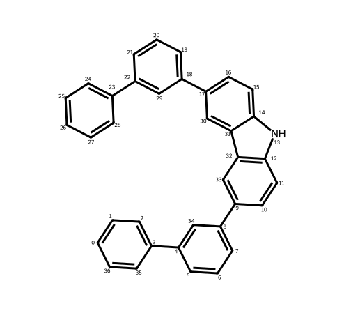 c1ccc(-c2cccc(-c3ccc4[nH]c5ccc(-c6cccc(-c7ccccc7)c6)cc5c4c3)c2)cc1